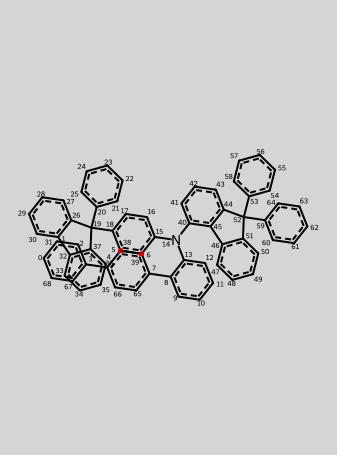 c1ccc(-c2ccc(-c3ccccc3N(c3ccc(C4(c5ccccc5)c5ccccc5-c5ccccc54)cc3)c3cccc4c3-c3ccccc3C4(c3ccccc3)c3ccccc3)cc2)cc1